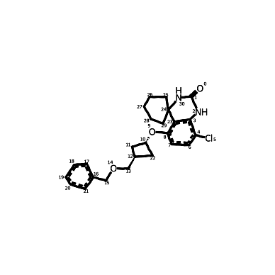 O=C1Nc2c(Cl)ccc(O[C@H]3C[C@H](COCc4ccccc4)C3)c2C2(CCCCC2)N1